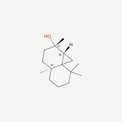 CC1(C)CCC[C@@]2(C)CC[C@](C)(O)[C@@H]3CC312